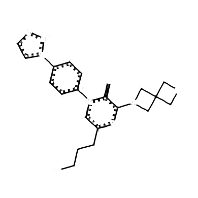 O=c1c(N2CC3(COC3)C2)nc(CCCO)cn1-c1ccc(-n2ccnn2)cc1